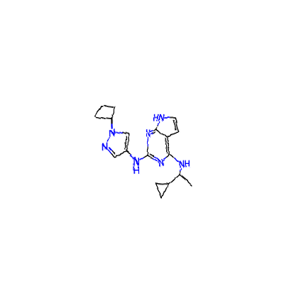 CC(Nc1nc(Nc2cnn(C3CCC3)c2)nc2[nH]ccc12)C1CC1